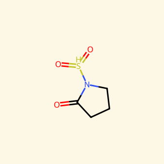 O=C1CCCN1[SH](=O)=O